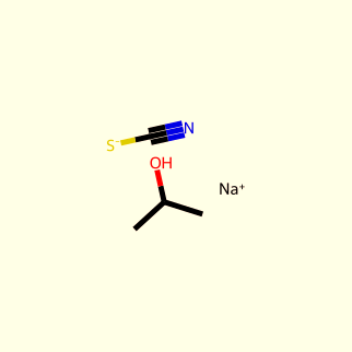 CC(C)O.N#C[S-].[Na+]